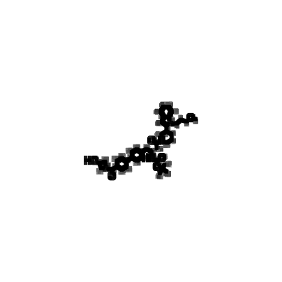 COCCCn1c(C2CCCN(C(=O)C[C@@H](Cc3ccc(-c4ccc(C(=O)N5CC(O)C5)cc4)cc3)NC(=O)OC(C)(C)C)C2)cc2ccccc21